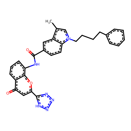 Cc1cn(CCCCc2ccccc2)c2ccc(C(=O)Nc3cccc4c(=O)cc(-c5nnn[nH]5)oc34)cc12